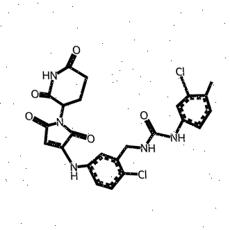 Cc1ccc(NC(=O)NCc2cc(NC3=CC(=O)N(C4CCC(=O)NC4=O)C3=O)ccc2Cl)cc1Cl